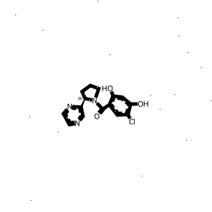 O=C(c1cc(Cl)c(O)cc1O)N1CCC[C@@H]1c1cnccn1